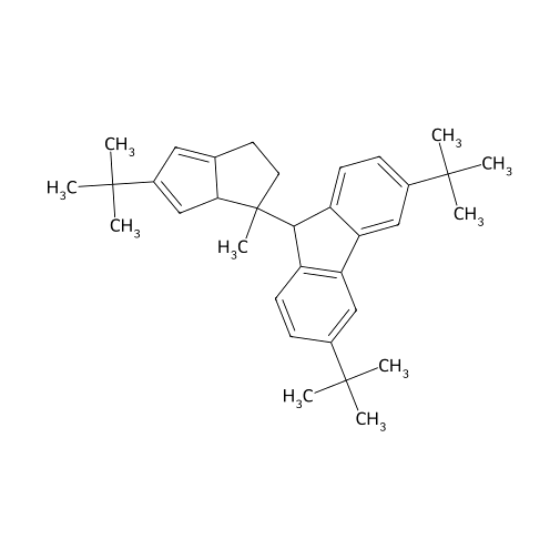 CC(C)(C)C1=CC2C(=C1)CCC2(C)C1c2ccc(C(C)(C)C)cc2-c2cc(C(C)(C)C)ccc21